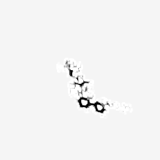 CC1=NN(CC(=O)NC(C)(C)C)C(=O)C1=NNc1cccc(-c2cccc(OC(=O)O)c2)c1O